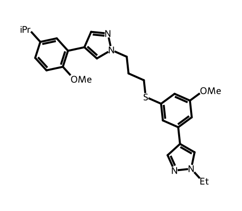 CCn1cc(-c2cc(OC)cc(SCCCn3cc(-c4cc(C(C)C)ccc4OC)cn3)c2)cn1